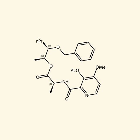 CCC[C@@H](OCc1ccccc1)[C@H](C)OC(=O)[C@H](C)NC(=O)c1nccc(OC)c1OC(C)=O